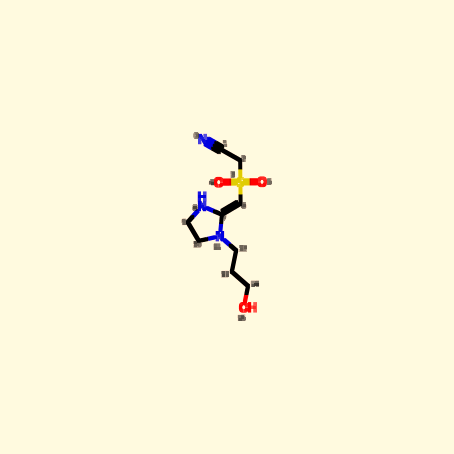 N#CCS(=O)(=O)/C=C1\NCCN1CCCO